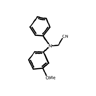 COc1cccc(N(CC#N)c2ccccc2)c1